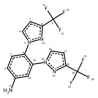 Nc1ccc(-n2ccc(C(F)(F)F)n2)c(-n2ccc(C(F)(F)F)n2)c1